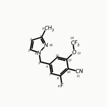 Cc1ccn(Cc2cc(F)c(C#N)c(OC(F)(F)F)c2)n1